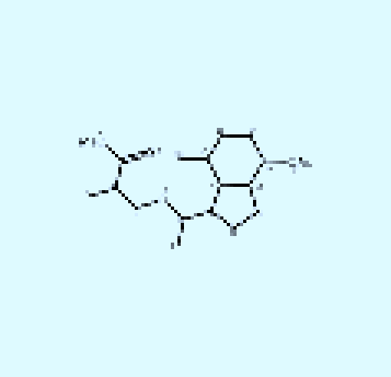 COC(=O)C(C)COC(C)C1CCC2C(OC(C)=O)CCC(C)C12